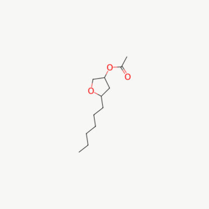 CCCCCCC1CC(OC(C)=O)CO1